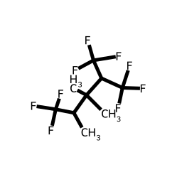 CC(C(F)(F)F)C(C)(C)C(C(F)(F)F)C(F)(F)F